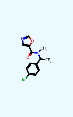 CN(C(=O)c1cnco1)C(c1ccc(Br)cc1)C(F)(F)F